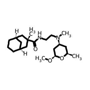 CO[C@H]1C[C@@H](N(C)CCNC(=O)[C@@]2(C)C[C@@H]3CCC[C@@H](C3)C2)C[C@@H](C)O1